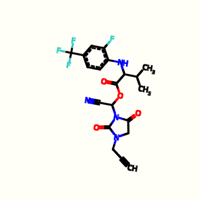 C#CCN1CC(=O)N(C(C#N)OC(=O)C(Nc2ccc(C(F)(F)F)cc2F)C(C)C)C1=O